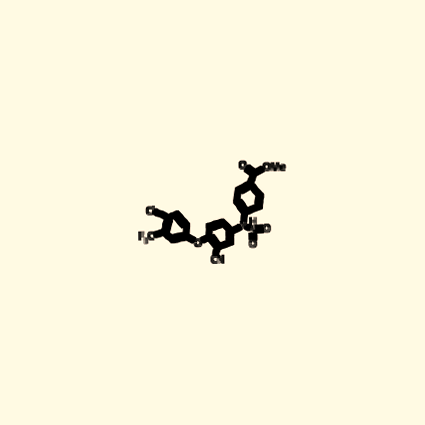 COC(=O)c1ccc(N(c2ccc(Oc3ccc(Cl)c(C(F)(F)F)c3)c(C#N)c2)[SH](=O)=O)cc1